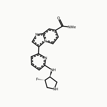 CNC(=O)c1ccn2c(-c3cccc(N[C@H]4CNC[C@@H]4F)n3)cnc2c1